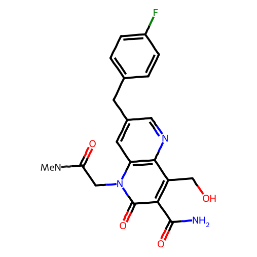 CNC(=O)Cn1c(=O)c(C(N)=O)c(CO)c2ncc(Cc3ccc(F)cc3)cc21